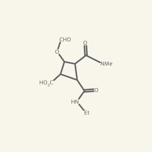 CCNC(=O)C1C(C(=O)O)C(OC=O)C1C(=O)NC